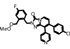 COOCc1cc(F)ccc1Cn1nc2c(-c3ccncc3)c(-c3ccc(Cl)cc3)ccn2c1=O